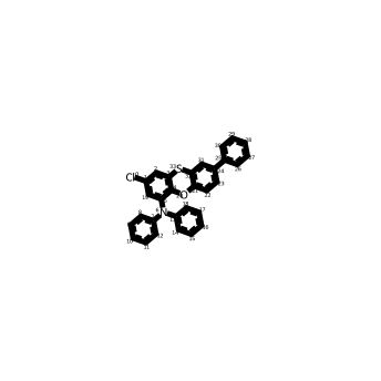 Clc1cc2c(c(N(c3ccccc3)c3ccccc3)c1)Oc1ccc(-c3ccccc3)cc1S2